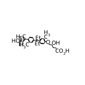 CCC(O)(C=C(C)c1ccc(C(CC)(CC)c2ccc(OCC(O)CCC(=O)O)c(C)c2)cc1C)CC